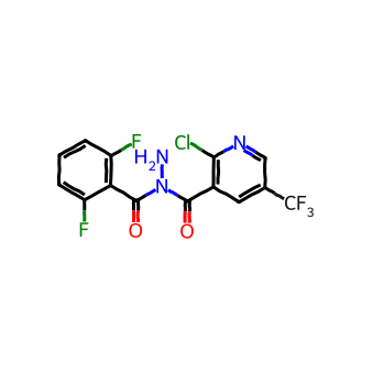 NN(C(=O)c1cc(C(F)(F)F)cnc1Cl)C(=O)c1c(F)cccc1F